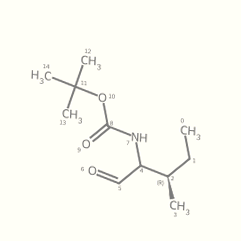 CC[C@@H](C)C(C=O)NC(=O)OC(C)(C)C